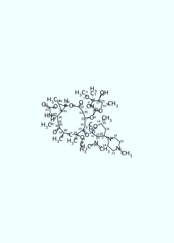 CO[C@]1(C)C[C@H](O[C@H]2[C@H](C)[C@@H](O[C@@H]3O[C@H](C)C[C@@H](N4CCN(C)CC4)[C@@H]3N(C)C)[C@@](C)(OC)C[C@@H](C)C(=O)[C@H](C)[C@H]3NC(=O)O[C@@]34C(C)[C@H]4OC(=O)[C@@H]2C)O[C@@H](C)[C@@H]1O